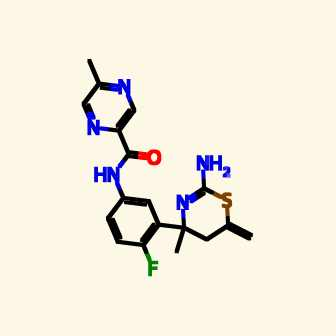 C=C1CC(C)(c2cc(NC(=O)c3cnc(C)cn3)ccc2F)N=C(N)S1